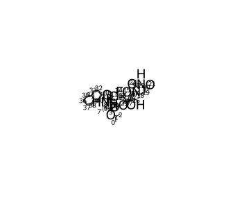 CC(C)OC(=O)[C@H](C)NP(=S)(OC[C@@]1(F)O[C@@H](n2ccc(=O)[nH]c2=O)[C@](C)(O)[C@@H]1O)Oc1ccc2ccccc2c1